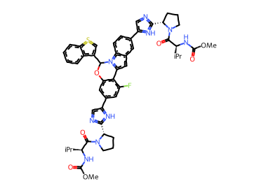 COC(=O)N[C@H](C(=O)N1CCC[C@H]1c1ncc(-c2cc(F)c3c(c2)OC(c2csc4ccccc24)n2c-3cc3cc(-c4cnc([C@@H]5CCCN5C(=O)[C@@H](NC(=O)OC)C(C)C)[nH]4)ccc32)[nH]1)C(C)C